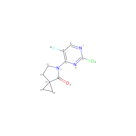 O=C1N(c2nc(Cl)ncc2F)CCC12CC2